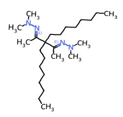 CCCCCCCCC(CCCCCCCC)(/C(C)=N/N(C)C)/C(C)=N/N(C)C